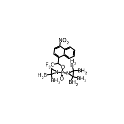 BC1(B)CN1P(=O)(OC(c1ccc([N+](=O)[O-])c2ccccc12)C(F)(F)F)N1C(B)(B)C1(B)B